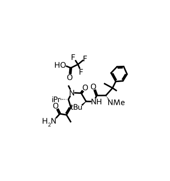 CN[C@H](C(=O)N[C@H](C(=O)N(C)[C@H](C=C(C)C(N)=O)C(C)C)C(C)(C)C)C(C)(C)c1ccccc1.O=C(O)C(F)(F)F